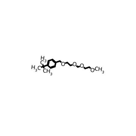 COCCOCOCCOCc1ccc(C(C)(C)C)cc1